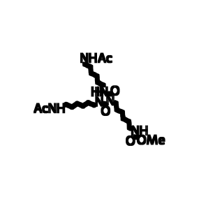 COC(=O)NCCCCCCN(C(=O)NCCCCCCNC(C)=O)C(=O)NCCCCCCNC(C)=O